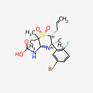 C=CC[C@@H]1[C@@](C)(c2cc(Br)ccc2F)N=C(NC(=O)O)C(C)(C)S1(=O)=O